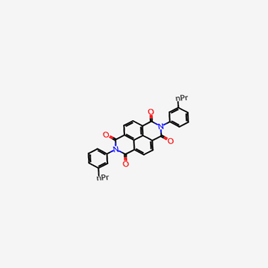 CCCc1cccc(N2C(=O)c3ccc4c5c(ccc(c35)C2=O)C(=O)N(c2cccc(CCC)c2)C4=O)c1